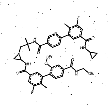 CCCOc1cc(C(=O)NCC(C)(C)C)ccc1-c1cc(C(=O)NC2CC2CC(C)(C)NC(=O)c2ccc(-c3cc(C(=O)NC4CC4)cc(F)c3C)nc2)cc(F)c1C